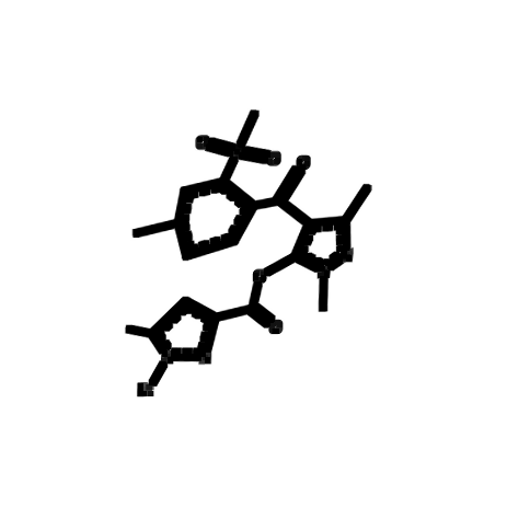 CCn1nc(C(=O)Oc2c(C(=O)c3ccc(C)cc3S(C)(=O)=O)c(C)nn2C)cc1C